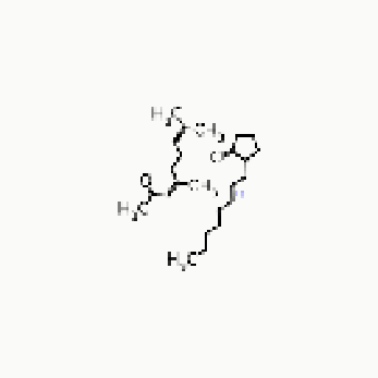 CC(=O)C=C(C)CCC=C(C)C.CCCCC/C=C/CC1CCCC1=O